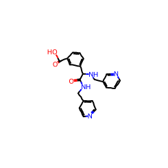 O=C(O)c1cccc(C(NCc2cccnc2)C(=O)NCc2ccncc2)c1